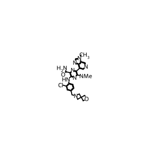 CNc1nc(Nc2ccc(CN3CC4(COC4)C3)cc2Cl)c(C(N)=O)nc1-c1cncc2c1ncn2C